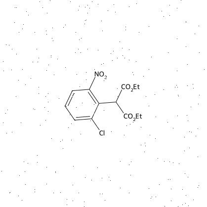 CCOC(=O)C(C(=O)OCC)c1c(Cl)cccc1[N+](=O)[O-]